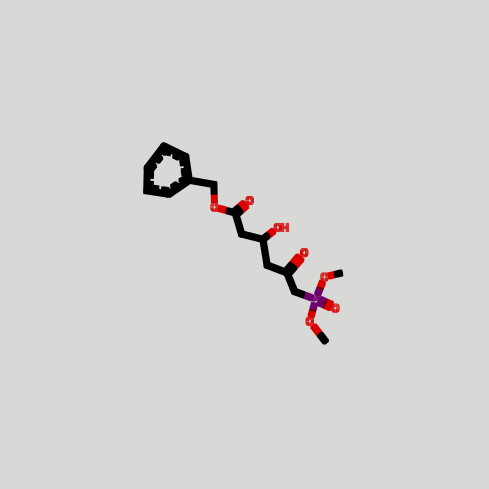 COP(=O)(CC(=O)CC(O)CC(=O)OCc1ccccc1)OC